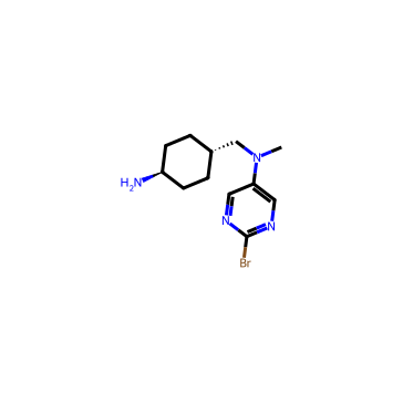 CN(C[C@H]1CC[C@H](N)CC1)c1cnc(Br)nc1